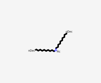 CCCCCCCCCCCCCCCCCCCCN(CCCCCCCCCCCCCCCCCCCC)C(C)=O